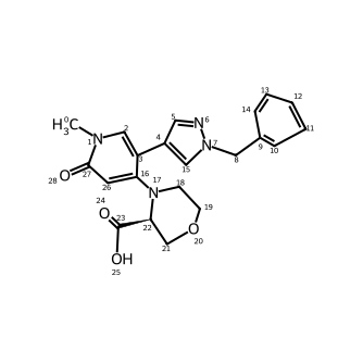 Cn1cc(-c2cnn(Cc3ccccc3)c2)c(N2CCOC[C@H]2C(=O)O)cc1=O